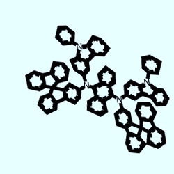 c1ccc(-n2c3ccccc3c3cc(N(c4ccc5c(c4)C4(c6ccccc6-c6ccccc64)c4ccccc4-5)c4c5ccccc5c(N(c5ccc6c(c5)C5(c7ccccc7-c7ccccc75)c5ccccc5-6)c5ccc6c(c5)c5ccccc5n6-c5ccccc5)c5ccccc45)ccc32)cc1